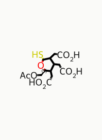 CC(=O)OC[C@H]1OC(S)C(CC(=O)O)C(CC(=O)O)C1CC(=O)O